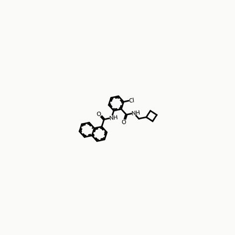 O=C(NCC1CCC1)c1c(Cl)cccc1NC(=O)c1cccc2ccccc12